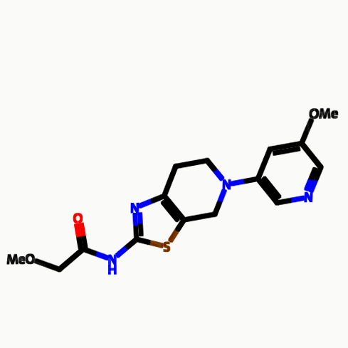 COCC(=O)Nc1nc2c(s1)CN(c1cncc(OC)c1)CC2